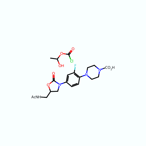 CC(=O)NCC1CN(c2ccc(N3CCN(C(=O)O)CC3)c(F)c2)C(=O)O1.CC(O)OC(=O)Cl